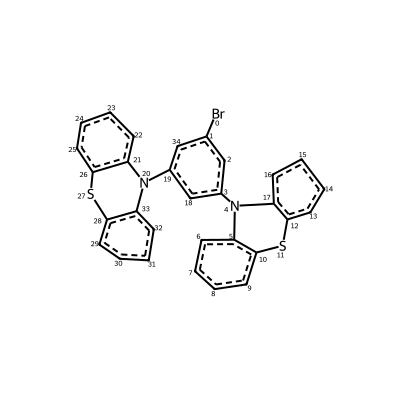 Brc1cc(N2c3ccccc3Sc3ccccc32)cc(N2c3ccccc3Sc3ccccc32)c1